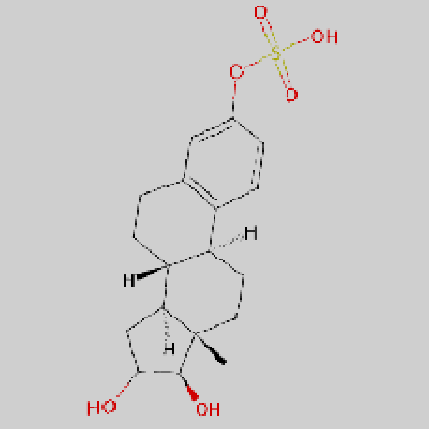 C[C@]12CC[C@@H]3c4ccc(OS(=O)(=O)O)cc4CC[C@H]3[C@@H]1CC(O)[C@@H]2O